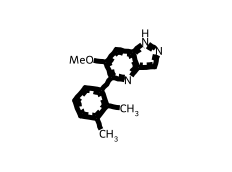 COc1cc2[nH]ncc2nc1-c1cccc(C)c1C